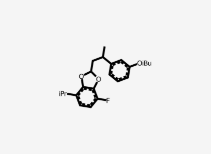 CC(C)COc1cccc(C(C)CC2Oc3c(F)ccc(C(C)C)c3O2)c1